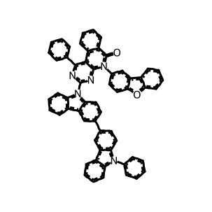 O=c1c2ccccc2c2c(-c3ccccc3)nc(-n3c4ccccc4c4cc(-c5ccc6c(c5)c5ccccc5n6-c5ccccc5)ccc43)nc2n1-c1ccc2oc3ccccc3c2c1